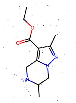 CCOC(=O)c1c(C)nn2c1CNC(C)C2